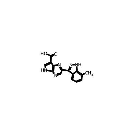 Cc1cccc2c(-c3cnc4[nH]cc(C(=O)O)c4n3)n[nH]c12